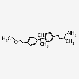 CCOCCC1=CCC(C(C)(C)c2ccc(CCC(C)CN)cc2)C=C1